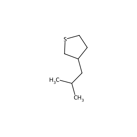 CC(C)CC1CCSC1